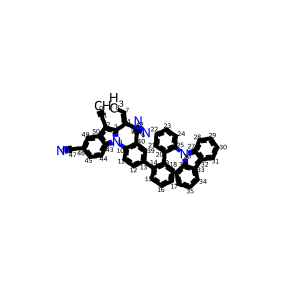 C#Cc1c(/C(C#N)=C\C)n(-c2ccc(-c3ccccc3-c3ccccc3-n3c4ccccc4c4ccccc43)cc2C#N)c2ccc(C#N)cc12